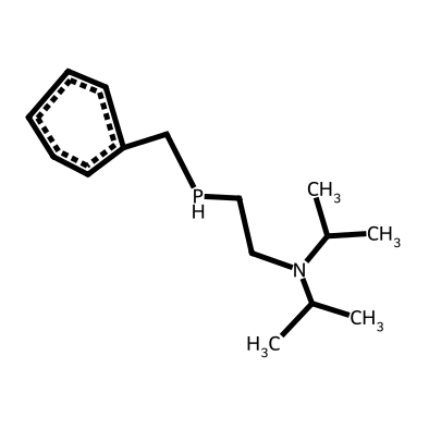 CC(C)N(CCPCc1ccccc1)C(C)C